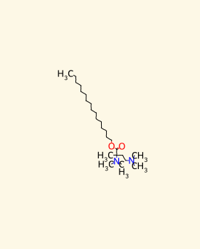 CCCCCCCCCCCCCCCCOC(=O)C(C)(CCN(C)C)N(C)C